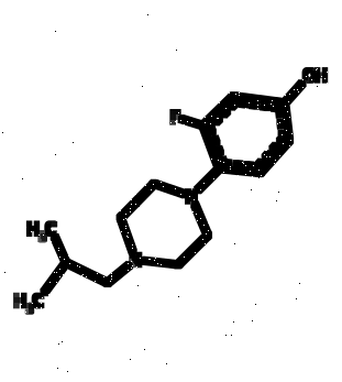 C[C](C)CN1CCN(c2ccc(O)cc2F)CC1